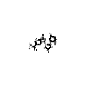 CN(C)C(=O)c1cnc2[nH]nc(N3C[C@@H](F)C[C@@H]3c3cc(F)ccc3F)c2c1